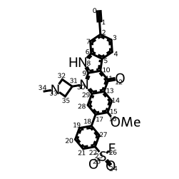 C#Cc1ccc2c(c1)[nH]c1c2c(=O)c2cc(OC)c(-c3cccc(S(=O)(=O)F)c3)cc2n1C1CN(C)C1